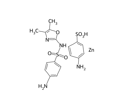 Cc1nc(NS(=O)(=O)c2ccc(N)cc2)oc1C.Nc1ccc(S(=O)(=O)O)cc1.[Zn]